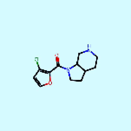 O=C(c1occc1Cl)N1CCC2CCNCC21